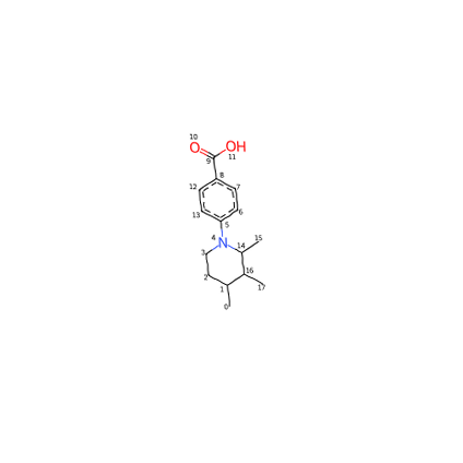 CC1CCN(c2ccc(C(=O)O)cc2)C(C)C1C